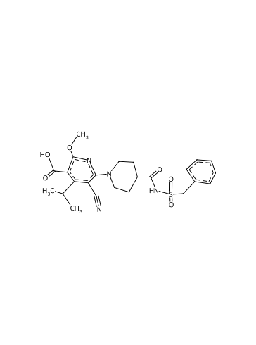 COc1nc(N2CCC(C(=O)NS(=O)(=O)Cc3ccccc3)CC2)c(C#N)c(C(C)C)c1C(=O)O